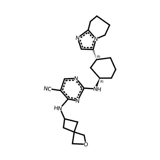 N#Cc1cnc(N[C@@H]2CCC[C@@H](c3cnc4n3CCCC4)C2)nc1NC1CC2(COC2)C1